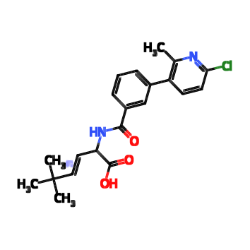 Cc1nc(Cl)ccc1-c1cccc(C(=O)NC(/C=C/C(C)(C)C)C(=O)O)c1